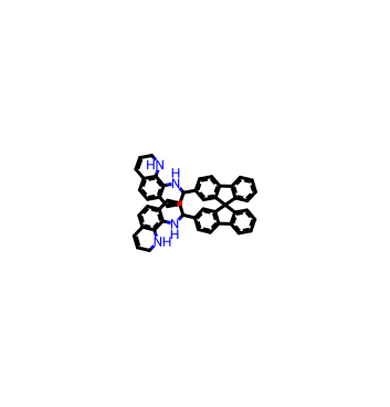 C1=Cc2ccc3c(c2NC1)NC(c1ccc2c(c1)C1(c4ccccc4-2)c2ccccc2-c2ccc(C4C=Cc5ccc6c(c5N4)NCC=C6)cc21)C=C3